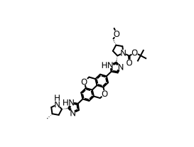 COC[C@H]1C[C@@H](c2ncc(-c3cc4c5c(c3)OCc3cc(-c6cnc([C@@H]7C[C@H](C)CN7)[nH]6)cc(c3-5)OC4)[nH]2)N(C(=O)OC(C)(C)C)C1